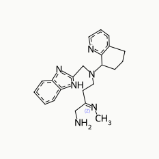 C/N=C(\CN)CCN(Cc1nc2ccccc2[nH]1)C1CCCc2cccnc21